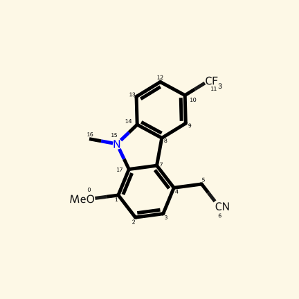 COc1ccc(CC#N)c2c3cc(C(F)(F)F)ccc3n(C)c12